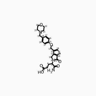 NC(=O)C(CCC(=O)O)N1Cc2c(COc3ccc(CN4CCOCC4)cc3)csc2C1=O